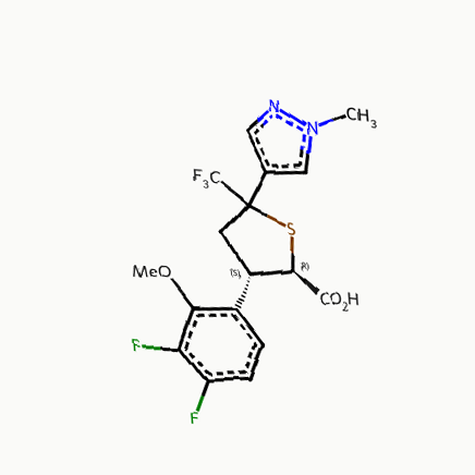 COc1c([C@@H]2CC(c3cnn(C)c3)(C(F)(F)F)S[C@H]2C(=O)O)ccc(F)c1F